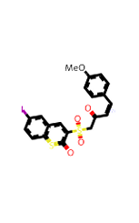 COc1ccc(/C=C\C(=O)CS(=O)(=O)c2cc3cc(I)ccc3sc2=O)cc1